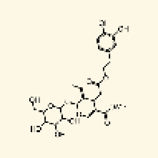 C/C=C1/C(CC(=O)OCCc2ccc(O)c(O)c2)C(C(=O)OC)=CO[C@H]1OC1OC(CO)C(O)C(O)C1O